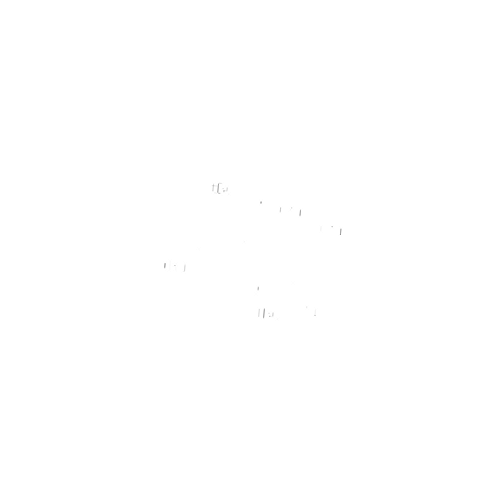 CC(C)(C)Oc1c(-c2cc(C(C)(C)C)cc(C(C)(C)C)c2OC(C)(C)C)cc(C(C)(C)C)cc1C(C)(C)C